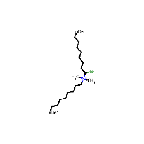 CCCCCCCCCCCCCCCCCC[N+](C)(C)C(Br)CCCCCCCCCCCCCCCCC